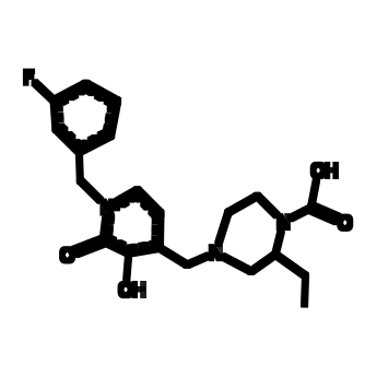 CCC1CN(Cc2ccn(Cc3cccc(F)c3)c(=O)c2O)CCN1C(=O)O